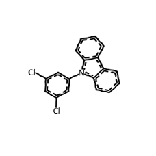 Clc1cc(Cl)cc(-n2c3ccccc3c3ccccc32)c1